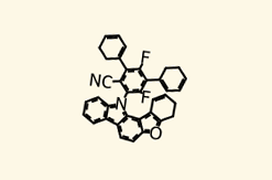 N#Cc1c(C2=CC=CCC2)c(F)c(C2=CC=CCC2)c(F)c1-n1c2ccccc2c2ccc3oc4c(c3c21)C=CCC4